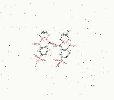 CCCC(C)COC(=O)c1ccc(S(=O)(=O)[O-])cc1C(=O)OCC(C)CCC.CCCC(C)COC(=O)c1ccc(S(=O)(=O)[O-])cc1C(=O)OCC(C)CCC.[Ba+2]